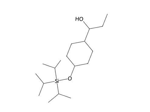 CCC(O)C1CCC(O[Si](C(C)C)(C(C)C)C(C)C)CC1